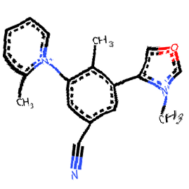 Cc1c(-c2coc[n+]2C)cc(C#N)cc1-[n+]1ccccc1C